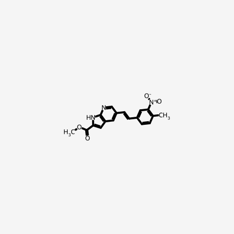 COC(=O)c1cc2cc(C=Cc3ccc(C)c([N+](=O)[O-])c3)cnc2[nH]1